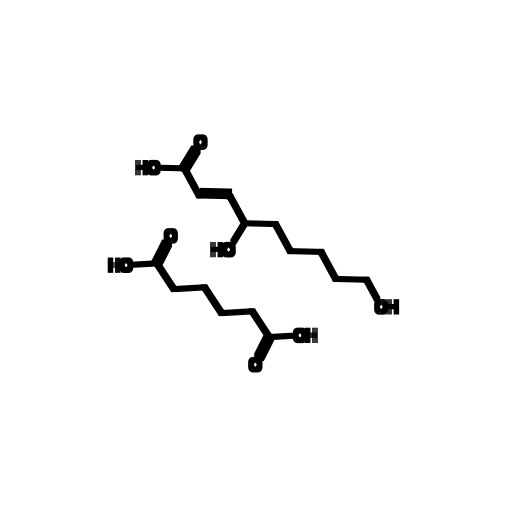 O=C(O)C=CC(O)CCCCCO.O=C(O)CCCCC(=O)O